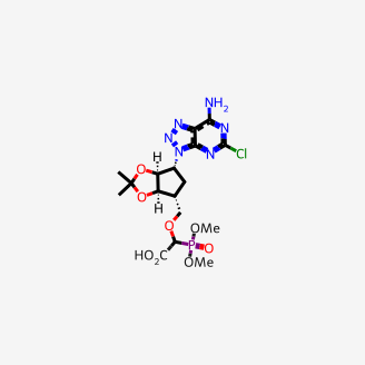 COP(=O)(OC)C(OC[C@H]1C[C@@H](n2nnc3c(N)nc(Cl)nc32)[C@@H]2OC(C)(C)O[C@H]12)C(=O)O